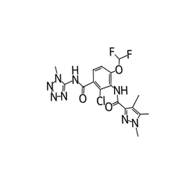 Cc1c(C(=O)Nc2c(OC(F)F)ccc(C(=O)Nc3nnnn3C)c2Cl)nn(C)c1C